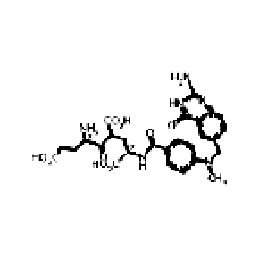 CN(Cc1ccc2nc(N)[nH]c(=O)c2c1)c1ccc(C(=O)N[C@H](CC(C(=O)O)C(=O)[C@H](N)CCC(=O)O)C(=O)O)cc1